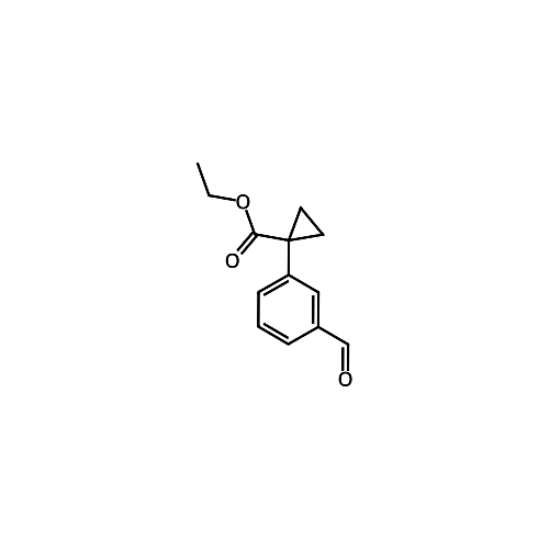 CCOC(=O)C1(c2cccc(C=O)c2)CC1